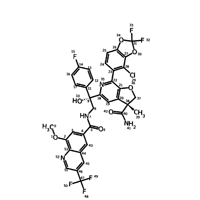 COc1cc(C(=O)NC[C@@](O)(c2ccc(F)cc2)c2cc3c(c(-c4ccc5c(c4Cl)OC(F)(F)O5)n2)OC[C@]3(C)C(N)=O)cc2cc(C(F)(F)F)cnc12